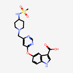 CS(=O)(=O)NC1CCN(Cc2cc(Oc3ccc4[nH]cc(C(=O)O)c4c3)ncn2)CC1